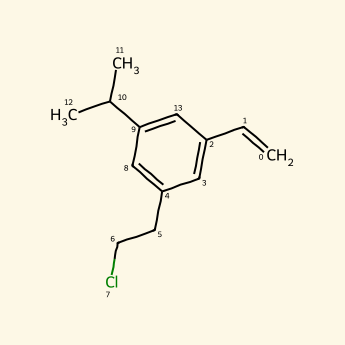 C=Cc1cc(CCCl)cc(C(C)C)c1